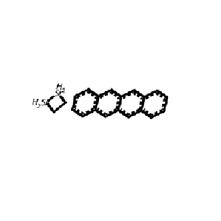 C1C[SiH2][SiH2]1.c1ccc2cc3cc4ccccc4cc3cc2c1